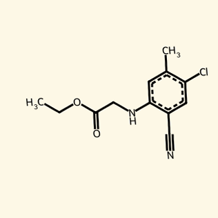 CCOC(=O)CNc1cc(C)c(Cl)cc1C#N